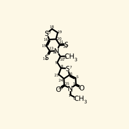 CCN1C(=O)C=C2SC(CC(C)N3C(=S)C=C4SCCC4C3=S)CC2C1=O